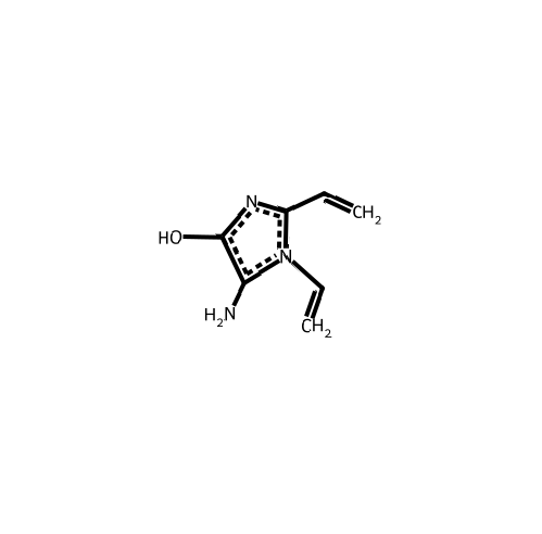 C=Cc1nc(O)c(N)n1C=C